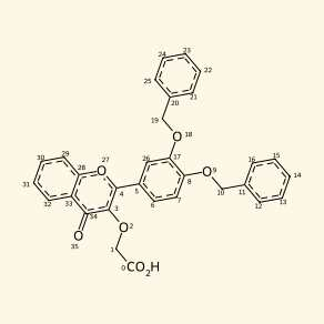 O=C(O)COc1c(-c2ccc(OCc3ccccc3)c(OCc3ccccc3)c2)oc2ccccc2c1=O